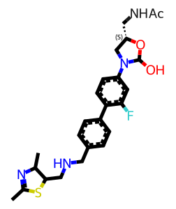 CC(=O)NC[C@H]1CN(c2ccc(-c3ccc(CNCC4SC(C)=NC4C)cc3)c(F)c2)C(O)O1